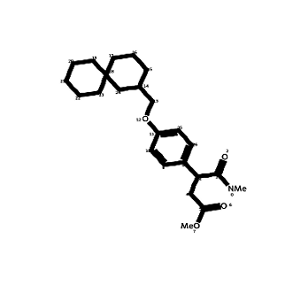 CNC(=O)C(CC(=O)OC)c1ccc(OCC2CCCC3(CCCCC3)C2)cc1